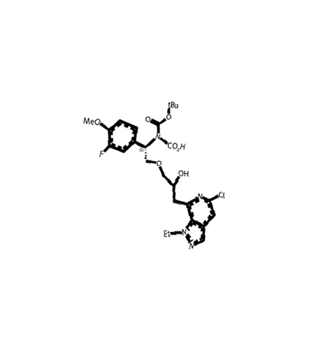 CCn1ncc2cc(Cl)nc(CC(O)COC[C@H](c3ccc(OC)c(F)c3)N(C(=O)O)C(=O)OC(C)(C)C)c21